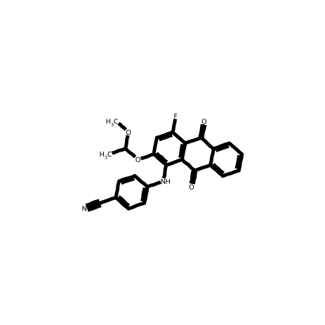 COC(C)Oc1cc(F)c2c(c1Nc1ccc(C#N)cc1)C(=O)c1ccccc1C2=O